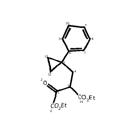 CCOC(=O)C(=O)C(CC1(c2ccccc2)CC1)C(=O)OCC